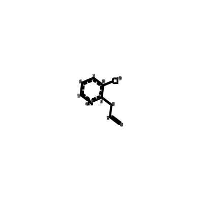 C=CCc1ncccc1Cl